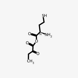 CCC(=O)C(=O)OC(=O)[C@H](N)CCS